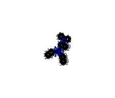 C1=CC2c3ccccc3N(c3ccc(-c4nc(-c5ccc6ccccc6c5)nc(-c5ccc6ccccc6c5)n4)c4ccccc34)C2C=C1